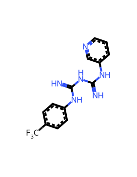 N=C(NC(=N)Nc1cccnc1)Nc1ccc(C(F)(F)F)cc1